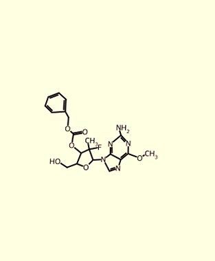 COc1nc(N)nc2c1ncn2C1OC(CO)C(OC(=O)OCc2ccccc2)C1(C)F